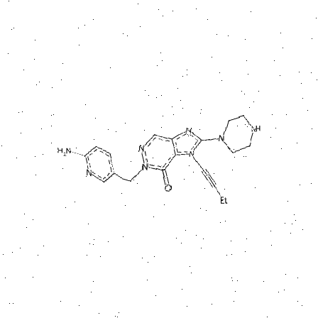 CCC#Cn1c(N2CCNCC2)nc2cnn(Cc3ccc(N)nc3)c(=O)c21